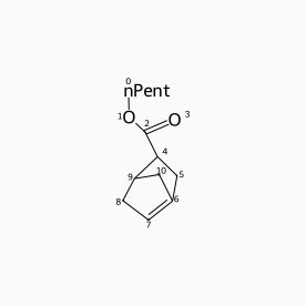 CCCCCOC(=O)C1CC2=CCC1C2